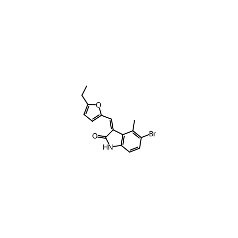 CCc1ccc(C=C2C(=O)Nc3ccc(Br)c(C)c32)o1